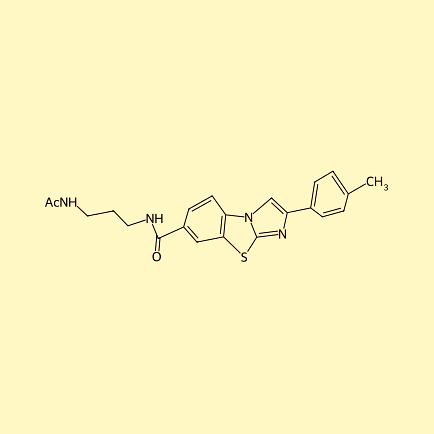 CC(=O)NCCCNC(=O)c1ccc2c(c1)sc1nc(-c3ccc(C)cc3)cn12